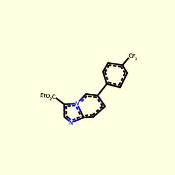 CCOC(=O)c1cnc2ccc(-c3ccc(C(F)(F)F)cc3)cn12